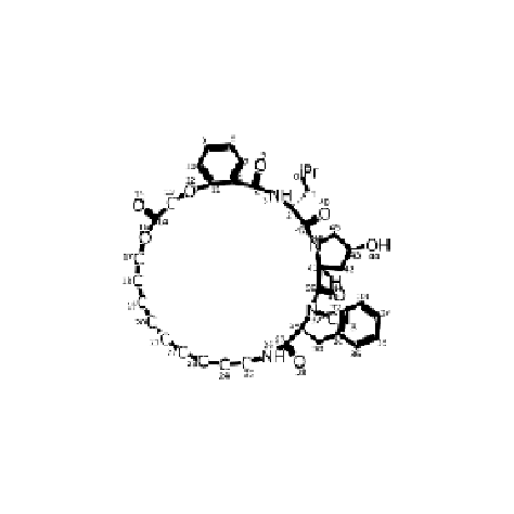 CC(C)C[C@H]1NC(=O)c2ccccc2OCC(=O)OCCCCCCCCCNC(=O)[C@H](Cc2ccccc2)N(C)C(=O)[C@H]2C[C@H](O)CN2C1=O